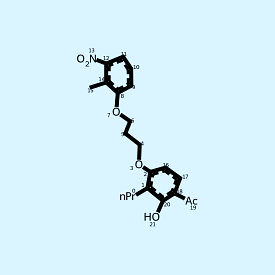 CCCc1c(OCCCOc2cccc([N+](=O)[O-])c2C)ccc(C(C)=O)c1O